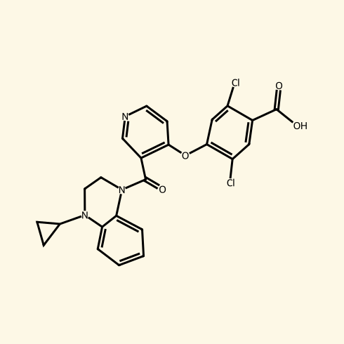 O=C(O)c1cc(Cl)c(Oc2ccncc2C(=O)N2CCN(C3CC3)c3ccccc32)cc1Cl